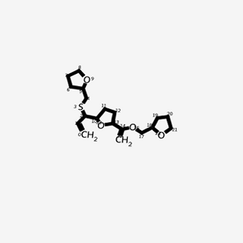 C=CC(SCC1CCCO1)C1CCC(C(=C)OCC2CCCO2)O1